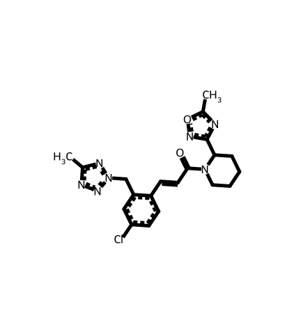 Cc1nnn(Cc2cc(Cl)ccc2/C=C/C(=O)N2CCCCC2c2noc(C)n2)n1